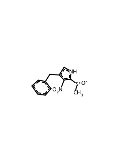 C[S+]([O-])c1[nH]cc(Cc2ccccc2)c1[N+](=O)[O-]